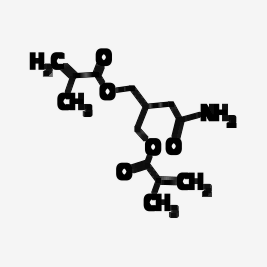 C=C(C)C(=O)OCC(COC(=O)C(=C)C)CC(N)=O